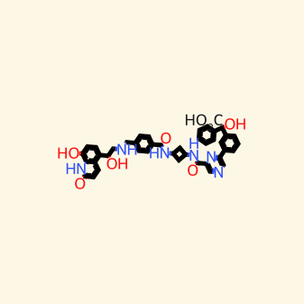 O=C(NC1CC(NC(=O)c2cncc(-c3cccc(C(O)(C(=O)O)c4ccccc4)c3)n2)C1)c1ccc(CNCC(O)c2ccc(O)c3[nH]c(=O)ccc23)cc1